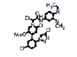 C=Nc1cc(NC(=O)C(CC)n2cc(OC)c(-c3cc(Cl)ccc3-n3cc(Cl)nn3)cc2=O)ccc1/N=C\C